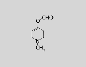 CN1CC=C(O[C]=O)CC1